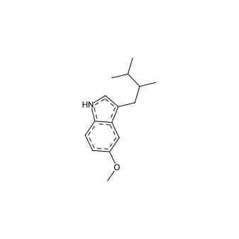 COc1ccc2[nH]cc(CC(C)C(C)C)c2c1